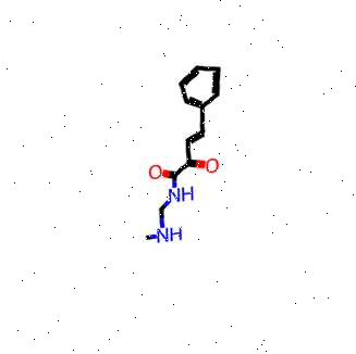 CNCNC(=O)C(=O)/C=C/c1ccccc1